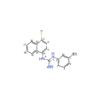 CCc1cccc(NC(=N)Nc2ccc(F)c3ccccc23)c1